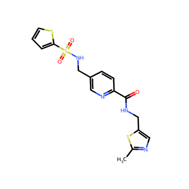 Cc1ncc(CNC(=O)c2ccc(CNS(=O)(=O)c3cccs3)cn2)s1